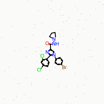 O=C(NN1CCCC1)c1cn(-c2ccc(Br)cc2)c(-c2ccc(Cl)cc2Cl)n1